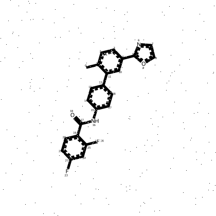 Cc1ccc(-c2ncco2)cc1-c1ccc(NC(=O)c2ccc(F)cc2F)cc1